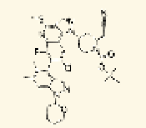 CSc1nc2c(F)c(-c3c(C)c(C)cc4c3cnn4C3CCCCO3)c(Cl)cc2c2c1cnn2[C@H]1CCN(C(=O)OC(C)(C)C)[C@H](CC#N)C1